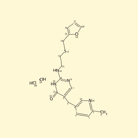 Cc1ccc(Cc2cnc(NCCSCc3ccco3)[nH]c2=O)cn1.Cl.Cl